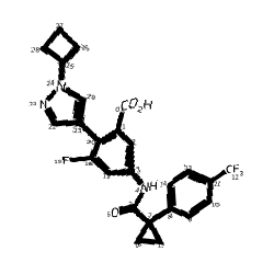 O=C(O)c1cc(NC(=O)C2(c3ccc(C(F)(F)F)cc3)CC2)cc(F)c1-c1cnn(C2CCC2)c1